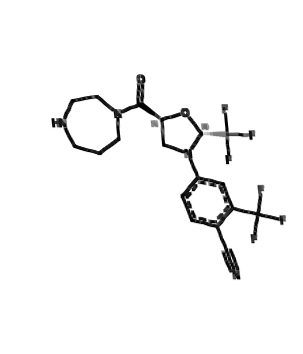 N#Cc1ccc(N2C[C@@H](C(=O)N3CCCNCC3)O[C@@H]2C(F)(F)F)cc1C(F)(F)F